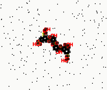 O=S(=O)(O)c1ccc2c(SOOO)cc(S(=O)(=O)c3cc(S(=O)(=O)c4ccc(O)c(S(=O)(=O)c5cc(S(=O)(=O)O)c6ccc(SOOO)cc6c5)c4)ccc3O)cc2c1